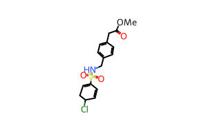 COC(=O)Cc1ccc(CNS(=O)(=O)C2=CCC(Cl)C=C2)cc1